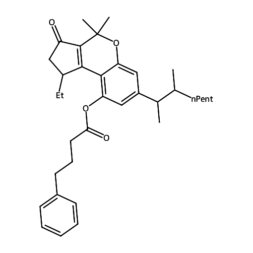 CCCCCC(C)C(C)c1cc(OC(=O)CCCc2ccccc2)c2c(c1)OC(C)(C)C1=C2C(CC)CC1=O